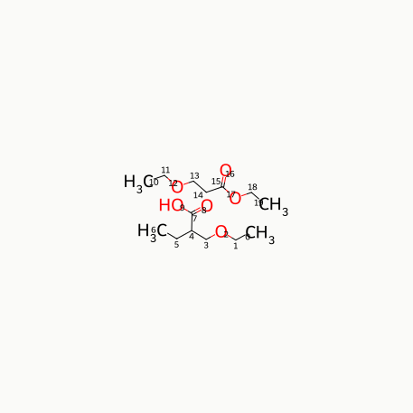 CCOCC(CC)C(=O)O.CCOCCC(=O)OCC